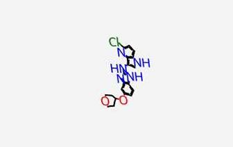 Clc1ccc2[nH]cc(Nc3nc4cc(OC5CCOCC5)ccc4[nH]3)c2n1